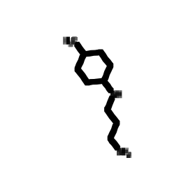 CC1CCC(NCCCN)CC1